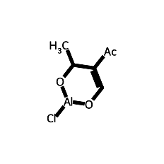 CC(=O)C1=C[O][Al]([Cl])[O]C1C